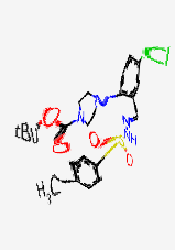 Cc1ccc(S(=O)(=O)N/N=C/c2cc(Cl)ccc2N2CCN(C(=O)OC(C)(C)C)CC2)cc1